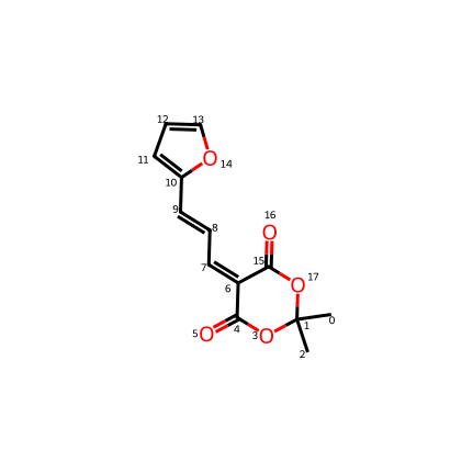 CC1(C)OC(=O)C(=CC=Cc2ccco2)C(=O)O1